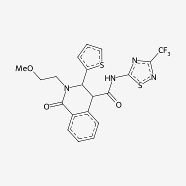 COCCN1C(=O)c2ccccc2C(C(=O)Nc2nc(C(F)(F)F)ns2)C1c1cccs1